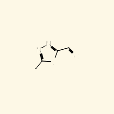 O=Cc1nnc(I)s1